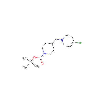 CC(C)(C)OC(=O)N1CCC(CN2CC=C(Br)CC2)CC1